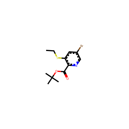 CCSc1cc(Br)cnc1C(=O)OC(C)(C)C